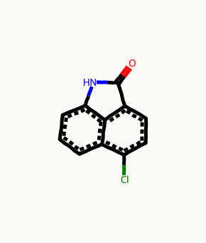 O=C1Nc2cccc3c(Cl)ccc1c23